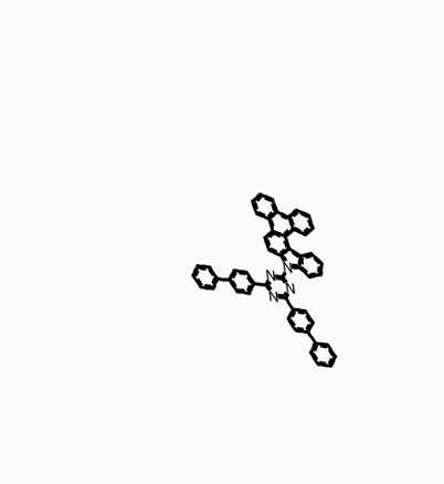 c1ccc(-c2ccc(-c3nc(-c4ccc(-c5ccccc5)cc4)nc(-n4c5ccccc5c5c6c7ccccc7c7ccccc7c6ccc54)n3)cc2)cc1